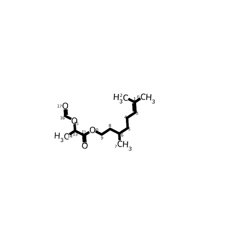 CC(C)=CCCC(C)CCOC(=O)C(C)OC=O